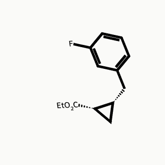 CCOC(=O)[C@H]1C[C@H]1Cc1cccc(F)c1